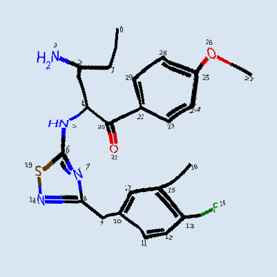 CCC(N)C(Nc1nc(Cc2ccc(F)c(C)c2)ns1)C(=O)c1ccc(OC)cc1